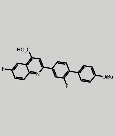 CC(C)COc1ccc(-c2ccc(-c3cc(C(=O)O)c4cc(F)ccc4n3)cc2F)cc1